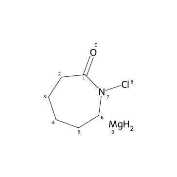 O=C1CCCCCN1Cl.[MgH2]